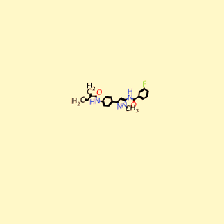 C=CC(=C)C(=O)Nc1ccc(-c2cc(NC(=O)c3cccc(F)c3)n(C)n2)cc1